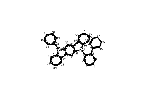 C1=CC(c2ccccc2-n2c3ccccc3c3cc4c(cc32)c2ccccc2n4-c2ccccc2)=CCC1